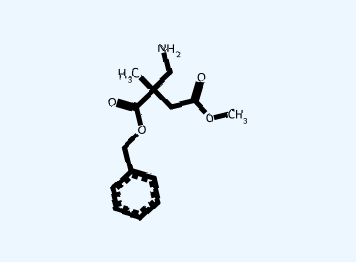 COC(=O)CC(C)(CN)C(=O)OCc1ccccc1